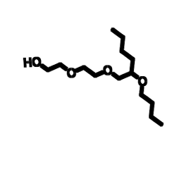 CCCCOC(CCCC)COCCOCCO